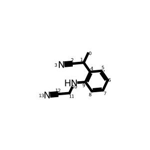 CC(C#N)c1[c]cccc1NCC#N